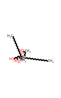 CCCCCCCCCCCCCCCCCC[Si](C)(CCCC(C)C(=O)O)O[Si](C)(CCCCCCCCCCCCCCCCCC)CCCC(CC(=O)O)C(=O)O